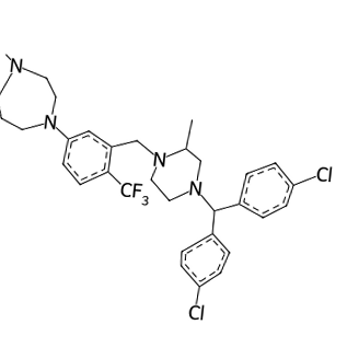 CC1CN(C(c2ccc(Cl)cc2)c2ccc(Cl)cc2)CCN1Cc1cc(N2CCCN(C)CC2)ccc1C(F)(F)F